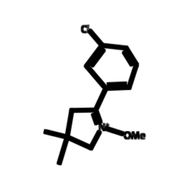 CO[N+]1=C(c2cccc(Cl)c2)CC(C)(C)C1